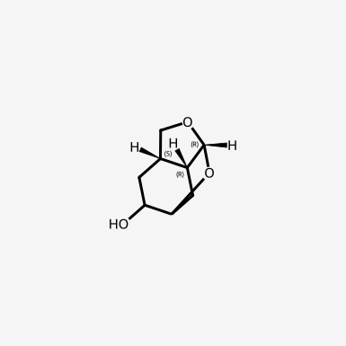 OC1C[C@@H]2CO[C@@H]3OC1C[C@H]23